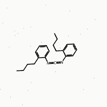 CCCCc1ccccc1N=C=Nc1ccccc1CCCC